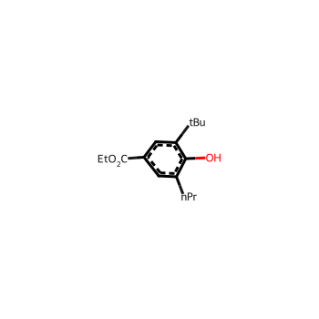 CCCc1cc(C(=O)OCC)cc(C(C)(C)C)c1O